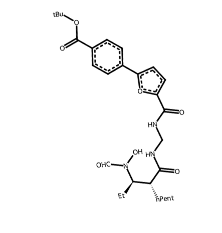 CCCCC[C@@H](C(=O)NCNC(=O)c1ccc(-c2ccc(C(=O)OC(C)(C)C)cc2)o1)[C@@H](CC)N(O)C=O